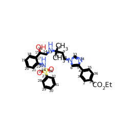 CCOC(=O)c1ccc(-c2cn(CCC(C)(C)NCC(O)c3ccccc3NS(=O)(=O)c3ccccc3)cn2)cc1